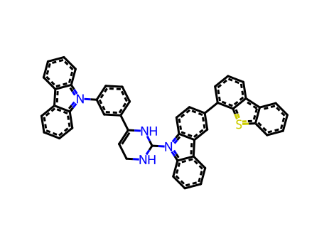 C1=C(c2cccc(-n3c4ccccc4c4ccccc43)c2)NC(n2c3ccccc3c3cc(-c4cccc5c4sc4ccccc45)ccc32)NC1